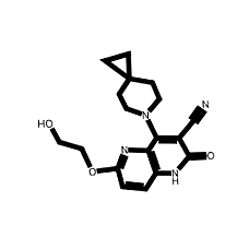 N#Cc1c(N2CCC3(CC2)CC3)c2nc(OCCO)ccc2[nH]c1=O